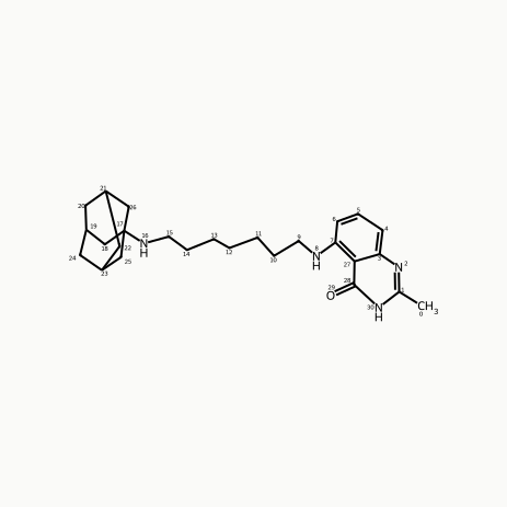 Cc1nc2cccc(NCCCCCCCNC34CC5CC(CC(C5)C3)C4)c2c(=O)[nH]1